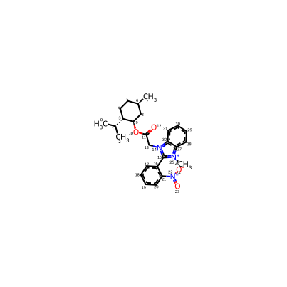 CC(C)[C@@H]1CC[C@@H](C)C[C@H]1OC(=O)Cn1c(-c2ccccc2[N+](=O)[O-])[n+](C)c2ccccc21